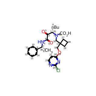 CCCC[C@@H](C(=O)C(=O)N[C@H](C)c1ccccc1)N(CC1(COc2ccnc(Cl)n2)CCC1)C(=O)O